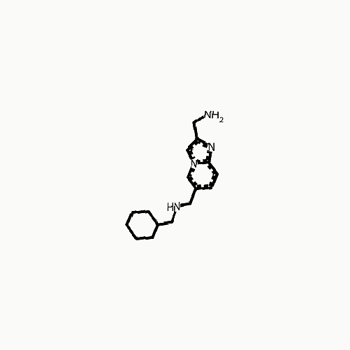 NCc1cn2cc(CNCC3CCCCC3)ccc2n1